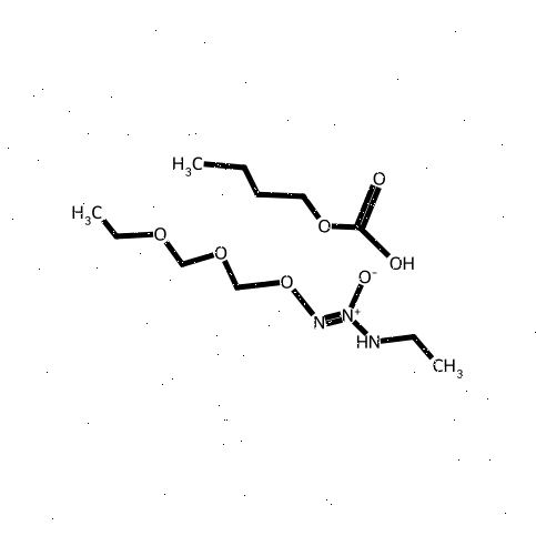 CCCCOC(=O)O.CCN/[N+]([O-])=N/OCOCOCC